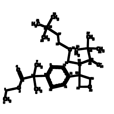 CCOC(=O)C(C)(C)c1ccc(C2(N(COCC[Si](C)(C)C)[S+]([O-])C(C)(C)C)COC2)cc1